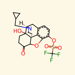 O=C1CCC2(O)[C@H]3Cc4ccc(OS(=O)(=O)C(F)(F)F)c5c4[C@@]2(CCN3CC2CC2)C1O5